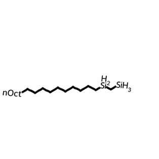 CCCCCCCCCCCCCCCCCC[SiH2]C[SiH3]